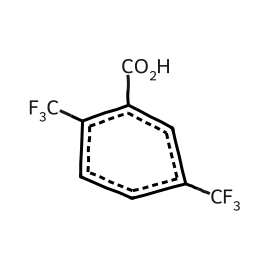 O=C(O)c1cc(C(F)(F)F)ccc1C(F)(F)F